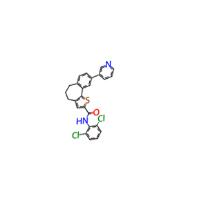 O=C(Nc1c(Cl)cccc1Cl)c1cc2c(s1)-c1cc(-c3cccnc3)ccc1CCC2